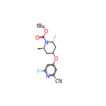 C[C@@H]1CC(Oc2cc(F)nc(C#N)c2)C[C@@H](C)N1C(=O)OC(C)(C)C